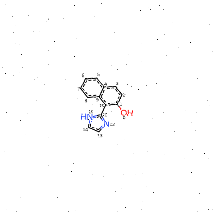 Oc1ccc2ccccc2c1-c1ncc[nH]1